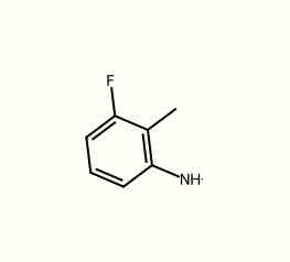 Cc1c([NH])cccc1F